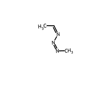 C/C=N\N=N/C